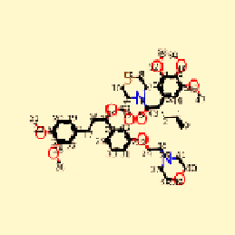 C=CC[C@H](C(=O)N1CCSC[C@H]1C(=O)OC(CCc1ccc(OC)c(OC)c1)c1cccc(OCCN2CCOCC2)c1)c1cc(OC)c(OC)c(OC)c1